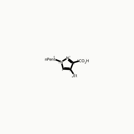 CCCCCn1cc(CC)c(C(=O)O)n1